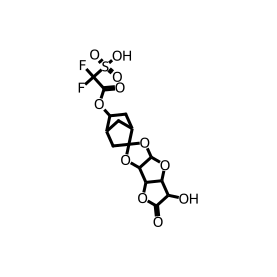 O=C1OC2C3OC4(CC5CC4CC5OC(=O)C(F)(F)S(=O)(=O)O)OC3OC2C1O